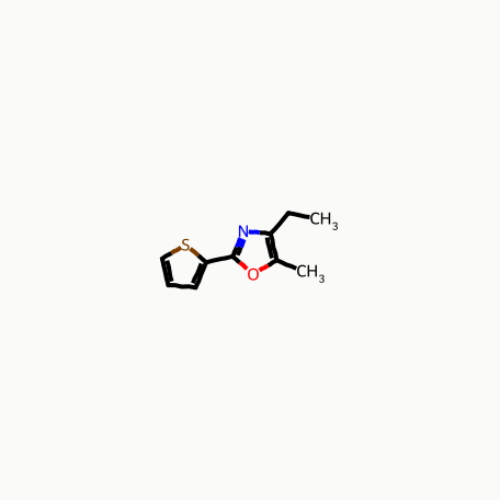 CCc1nc(-c2cccs2)oc1C